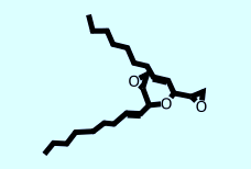 CCCCCCCC=CC(OC(C=CCCCCCCC)C1CO1)C1CO1